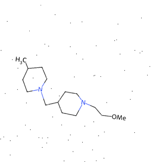 COCCN1CCC(CN2CCC(C)CC2)CC1